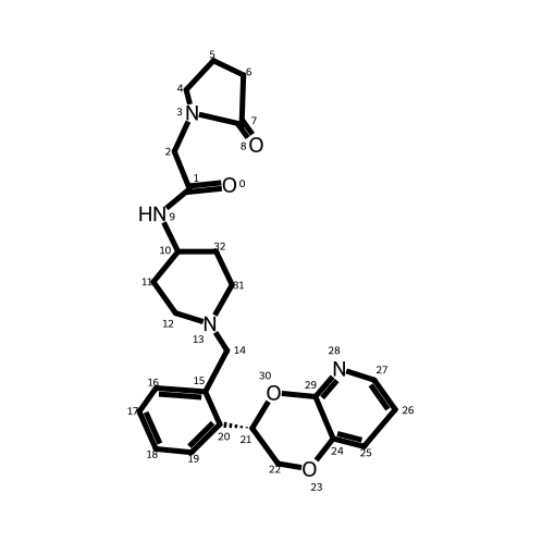 O=C(CN1CCCC1=O)NC1CCN(Cc2ccccc2[C@H]2COc3cccnc3O2)CC1